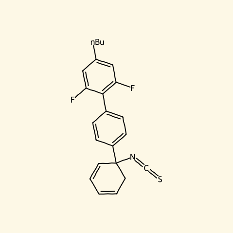 CCCCc1cc(F)c(-c2ccc(C3(N=C=S)C=CC=CC3)cc2)c(F)c1